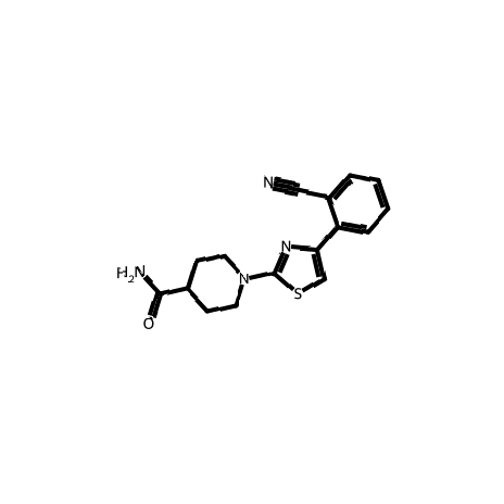 N#Cc1ccccc1-c1csc(N2CCC(C(N)=O)CC2)n1